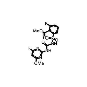 COC(=O)c1c(F)cccc1S(=O)(=O)NC(=O)Nc1nc(F)cc(OC)n1